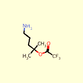 CC(C)(CCCN)OC(=O)C(F)(F)F